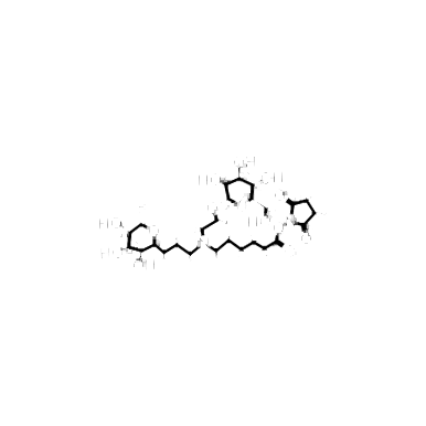 C[C@@H]1OC(CCCN(CCCCCC(=O)ON2C(=O)CCC2=O)CCO[C@H]2O[C@H](CO)[C@@H](O)[C@H](O)[C@@H]2O)[C@@H](O)[C@H](O)[C@@H]1O